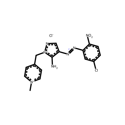 C[n+]1ccc(Cn2ncc(/N=N/c3cc(Cl)ccc3[N+](=O)[O-])c2N)cc1.[Cl-]